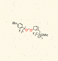 CCC(C)c1ccc(C(C)(OCOC2CC3CC(CC(OC)(C(F)(F)F)C(F)(F)F)C2C3)C(F)(F)F)cc1